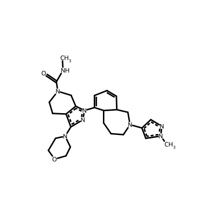 CNC(=O)N1CCc2c(N3CCOCC3)nn(C3=CC=CC4CN(c5cnn(C)c5)CCCC34)c2C1